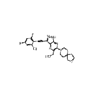 OCc1nc2c(C#Cc3c(F)cc(F)cc3Cl)n[nH]c2nc1N1CCC2(CCOC2)CC1